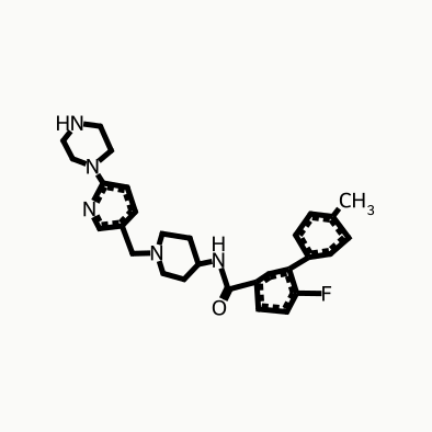 Cc1ccc(-c2cc(C(=O)NC3CCN(Cc4ccc(N5CCNCC5)nc4)CC3)ccc2F)cc1